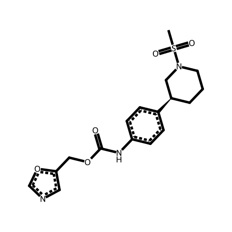 CS(=O)(=O)N1CCC[C@@H](c2ccc(NC(=O)OCc3cnco3)cc2)C1